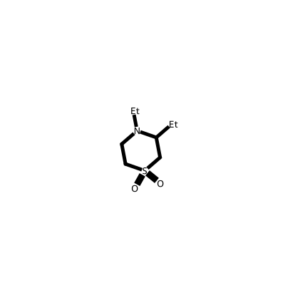 CCC1CS(=O)(=O)CCN1CC